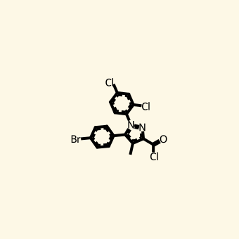 Cc1c(C(=O)Cl)nn(-c2ccc(Cl)cc2Cl)c1-c1ccc(Br)cc1